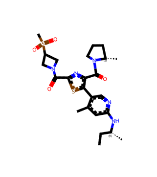 CC[C@@H](C)Nc1cc(C)c(-c2sc(C(=O)N3CC(S(C)(=O)=O)C3)nc2C(=O)N2CCC[C@@H]2C)cn1